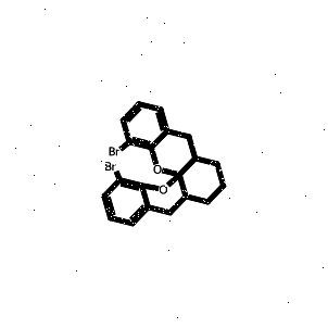 Brc1cccc2c1OC13Oc4c(Br)cccc4CC1CCCC3C2